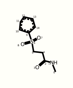 CNC(=O)CCS(=O)(=O)c1ccccc1